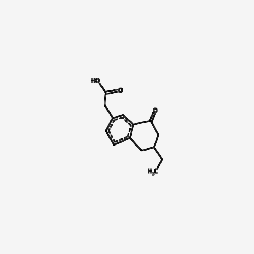 CCC1CC(=O)c2cc(CC(=O)O)ccc2C1